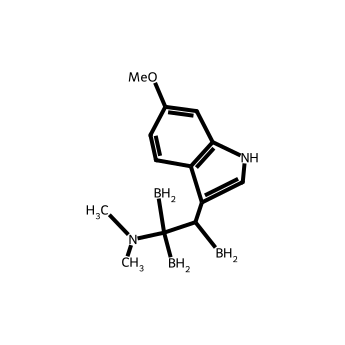 BC(c1c[nH]c2cc(OC)ccc12)C(B)(B)N(C)C